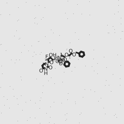 C[C@H](NP(=O)(OC[C@H]1O[C@@H](n2ccc(=O)[nH]c2=O)[C@](C)(F)[C@@H]1O)Oc1ccccc1)C(=O)O[C@@H](C)C(=O)OCc1ccccc1